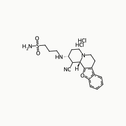 Cl.Cl.N#CC1[C@H]2c3oc4ccccc4c3CCN2CC[C@H]1NCCCS(N)(=O)=O